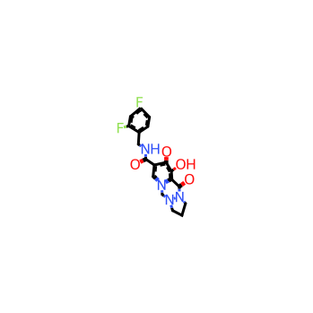 O=C(NCc1ccc(F)cc1F)c1cn2c(c(O)c1=O)C(=O)N1CCCN1C2